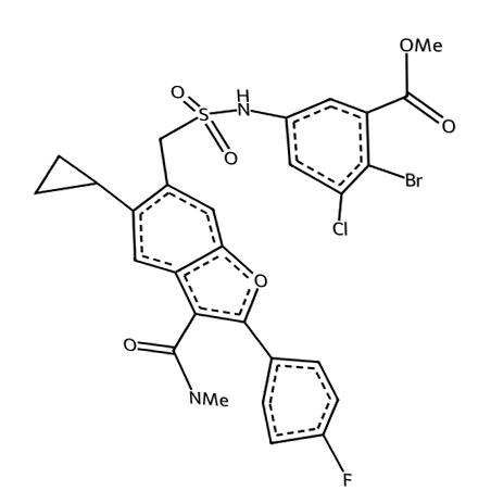 CNC(=O)c1c(-c2ccc(F)cc2)oc2cc(CS(=O)(=O)Nc3cc(Cl)c(Br)c(C(=O)OC)c3)c(C3CC3)cc12